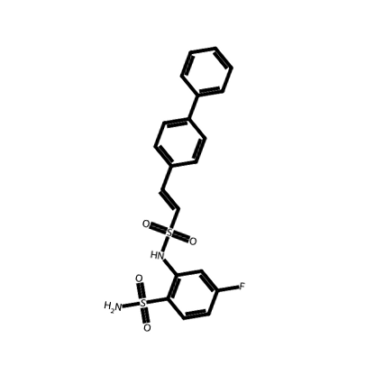 NS(=O)(=O)c1ccc(F)cc1NS(=O)(=O)C=Cc1ccc(-c2ccccc2)cc1